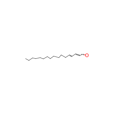 CCCCCCCCCCCC/C=C/C=C/[C]=O